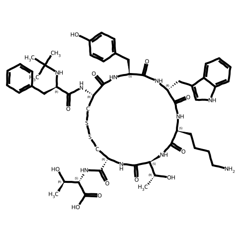 C[C@@H](O)[C@H](NC(=O)[C@@H]1CSSC[C@H](NC(=O)[C@@H](Cc2ccccc2)NC(C)(C)C)C(=O)N[C@@H](Cc2ccc(O)cc2)C(=O)N[C@H](Cc2c[nH]c3ccccc23)C(=O)N[C@@H](CCCCN)C(=O)N[C@@H]([C@@H](C)O)C(=O)N1)C(=O)O